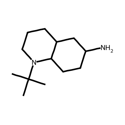 CC(C)(C)N1CCCC2CC(N)CCC21